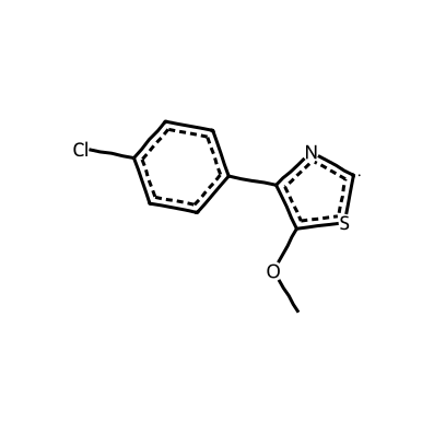 COc1s[c]nc1-c1ccc(Cl)cc1